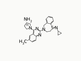 Cc1ccc2nc(N3CCS(=NC4CC4)c4ccccc4C3)nc(N3CC[C@H](N)C3)c2c1